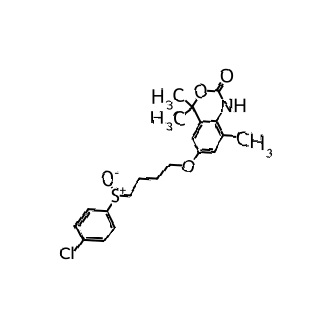 Cc1cc(OCCCC[S+]([O-])c2ccc(Cl)cc2)cc2c1NC(=O)OC2(C)C